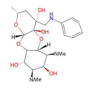 CN[C@@H]1[C@H](O)[C@H](NC)[C@H]2O[C@]3(O)[C@H](OC2[C@H]1O)O[C@H](C)C[C@@]3(O)CNc1ccccc1